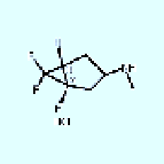 CNC1C[C@@H]2[C@H](C1)C2(F)F.Cl